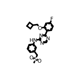 CS(=O)(=O)Cc1cccc(Nc2ncnc(-c3ccc(F)cc3OCC3CCC3)n2)c1